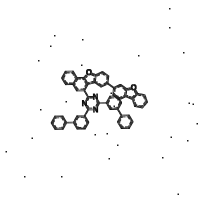 c1ccc(-c2cccc(-c3nc(-c4cccc(-c5ccccc5)c4)nc(-c4cc5ccccc5c5oc6ccc(-c7ccc8c(c7)oc7ccccc78)cc6c45)n3)c2)cc1